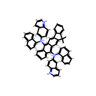 CC1(C)c2ccccc2-c2cc3c(N(c4ccc5ncccc5c4)c4cccc5ccccc45)c4ccccc4c(N(c4ccc5ncccc5c4)c4cccc5ccccc45)c3cc21